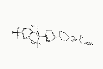 CC1(C)Oc2nc(C(F)(F)F)nc(N)c2N=C1c1ccc([C@H]2CC[C@H](CNC(=O)CO)CC2)cc1